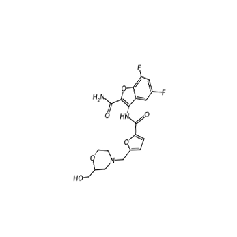 NC(=O)c1oc2c(F)cc(F)cc2c1NC(=O)c1ccc(CN2CCOC(CO)C2)o1